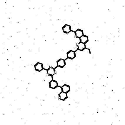 CCc1cc(-c2ccc(-c3ccc(-c4nc(-c5ccccc5)nc(-c5cccc(-c6cccc7ccncc67)c5)n4)cc3)cc2)nc2c1ccc1ccc(-c3ccccc3)nc12